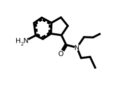 CCCN(CCC)C(=O)C1CCc2ccc(N)cc21